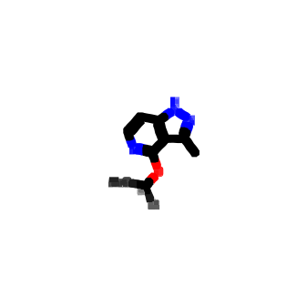 CC[C@@H](OC)Oc1nccc2[nH]nc(C)c12